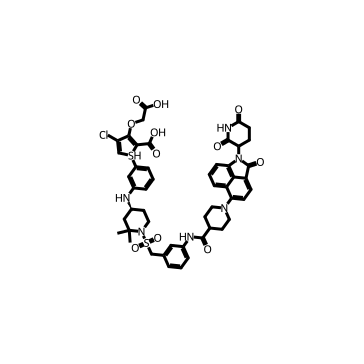 CC1(C)C[C@@H](Nc2cccc([SH]3C=C(Cl)C(OCC(=O)O)=C3C(=O)O)c2)CCN1S(=O)(=O)Cc1cccc(NC(=O)C2CCN(c3ccc4c5c(cccc35)N(C3CCC(=O)NC3=O)C4=O)CC2)c1